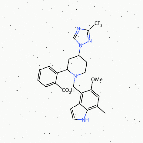 COc1cc(C)c2[nH]ccc2c1CN1CCC(n2cnc(C(F)(F)F)n2)CC1c1ccccc1C(=O)O